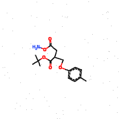 Cc1ccc(OCC(CC(=O)ON)C(=O)OC(C)(C)C)cc1